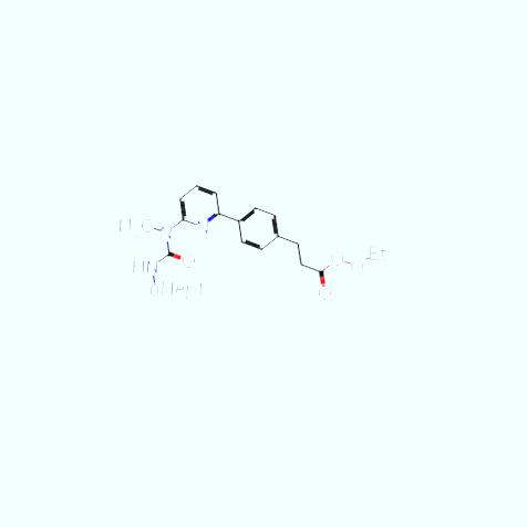 CCCCCCCNC(=O)N(C)c1cccc(-c2ccc(CCC(=O)OOCC)cc2)n1